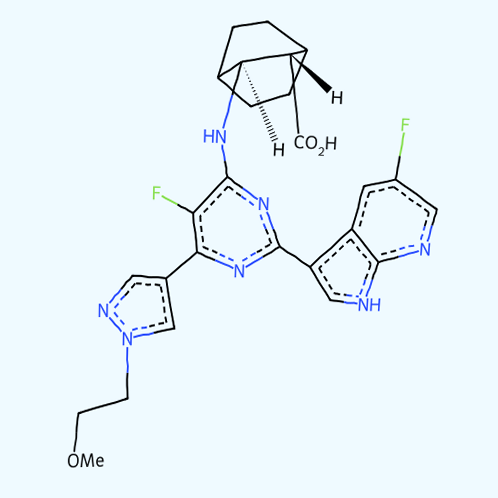 COCCn1cc(-c2nc(-c3c[nH]c4ncc(F)cc34)nc(N[C@H]3C4CCC(CC4)[C@@H]3C(=O)O)c2F)cn1